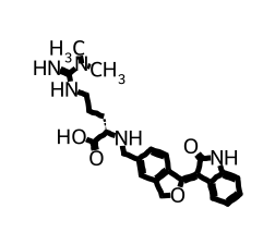 CN(C)C(=N)NCCC[C@H](NCc1ccc2c(c1)CO/C2=C1/C(=O)Nc2ccccc21)C(=O)O